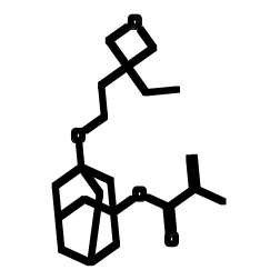 C=C(C)C(=O)OC12CC3CC(CC(OCCC4(CC)COC4)(C3)C1)C2